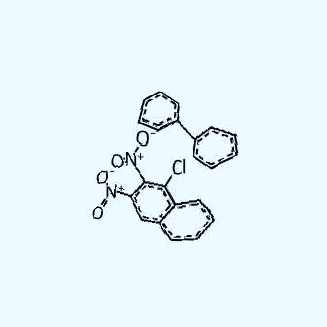 O=[N+]([O-])c1cc2ccccc2c(Cl)c1[N+](=O)[O-].c1ccc(-c2ccccc2)cc1